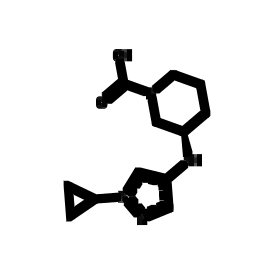 O=C(O)N1CCC[C@@H](Nc2cnn(C3CC3)c2)C1